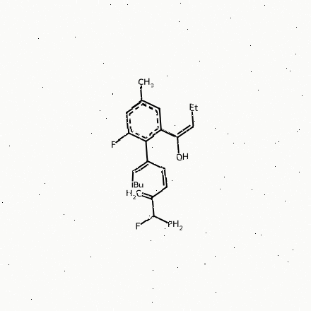 C=C(/C=C\C(=C/C(C)CC)c1c(F)cc(C)cc1/C(O)=C\CC)C(F)P